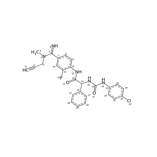 C#CCN(C)C(=N)c1ccc(NC(=O)C(NC(=O)Nc2ccc(Cl)cc2)c2ccccc2)c(F)c1